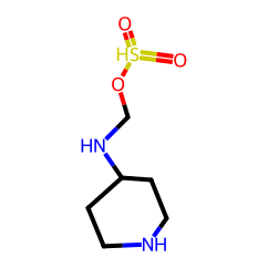 O=[SH](=O)OCNC1CCNCC1